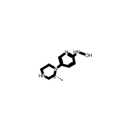 C[C@@H]1CNCCN1c1ccc(NO)nc1